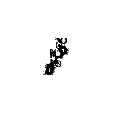 CC(=O)Oc1cccc(C=C(C#N)C(=O)NC2CC3CCC(C2)N3C)c1